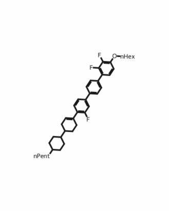 CCCCCCOc1ccc(-c2ccc(-c3ccc(C4=CCC(C5CCC(CCCCC)CC5)CC4)c(F)c3)cc2)c(F)c1F